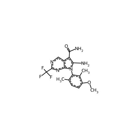 COc1ccc(C)c(-n2c(N)c(C(N)=O)c3cnc(C(F)(F)F)nc32)c1C